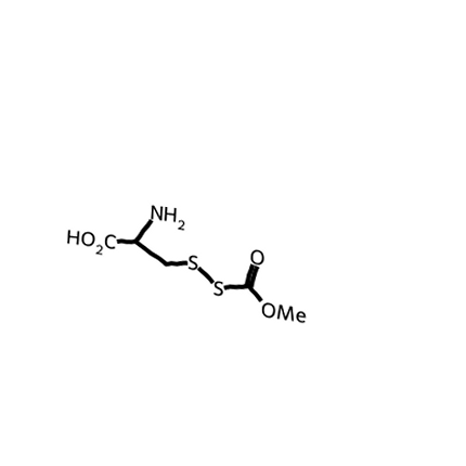 COC(=O)SSCC(N)C(=O)O